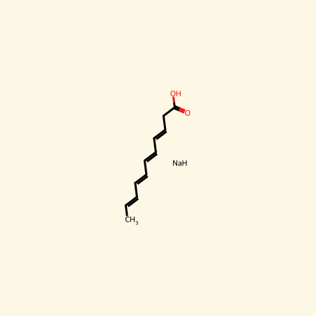 CC=CC=CC=CC=CCC(=O)O.[NaH]